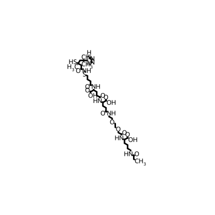 CCC(=O)NCCCCC(NC(=O)COCCOCCNC(=O)CCC(NC(=O)CCC(NC(=O)CCCSNC(=O)CC(C)(S)CC(C)(C)c1nnn[nH]1)C(=O)O)C(=O)O)C(=O)O